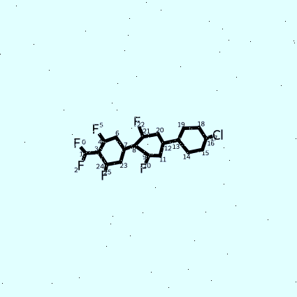 FC(F)C1C(F)CC(C2C(F)CC(C3CCC(Cl)CC3)CC2F)CC1F